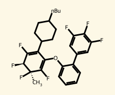 CCCCC1CCC(C2=C(F)[C@H](F)[C@](C)(F)C(F)=C2Oc2ccccc2-c2cc(F)c(F)c(F)c2)CC1